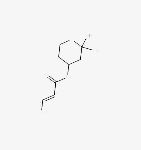 C/C=C/C(=O)NC1CCOC(C)(C)C1